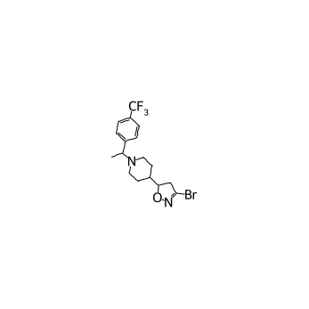 CC(c1ccc(C(F)(F)F)cc1)N1CCC(C2CC(Br)=NO2)CC1